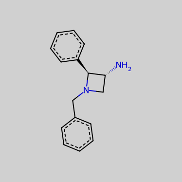 N[C@@H]1CN(Cc2ccccc2)[C@H]1c1ccccc1